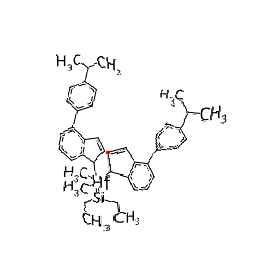 CC[Si](CC)=[Hf]([CH3])([CH3])([CH]1C=Cc2c(-c3ccc(C(C)C)cc3)cccc21)[CH]1C=Cc2c(-c3ccc(C(C)C)cc3)cccc21